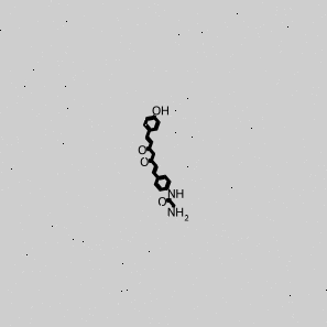 NCC(=O)Nc1ccc(C=CC(=O)CC(=O)C=Cc2ccc(O)cc2)cc1